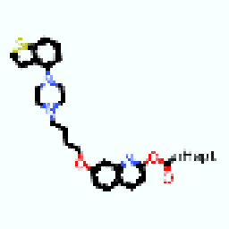 CCCCCCCC(=O)Oc1ccc2ccc(OCCCCN3CCN(c4cccc5sccc45)CC3)cc2n1